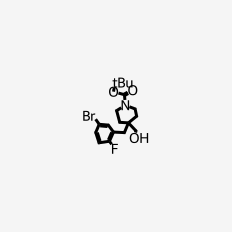 CC(C)(C)OC(=O)N1CCC(CO)(Cc2cc(Br)ccc2F)CC1